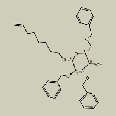 C=CCCCCCCO[C@@H]1O[C@H](COCc2ccccc2)[C@@H](O)[C@H](OCc2ccccc2)[C@H]1OCc1ccccc1